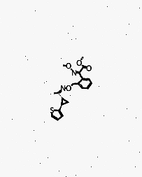 CON=C(C(=O)OC)c1ccccc1CON=C(C)[C@@H]1C[C@H]1c1cccs1